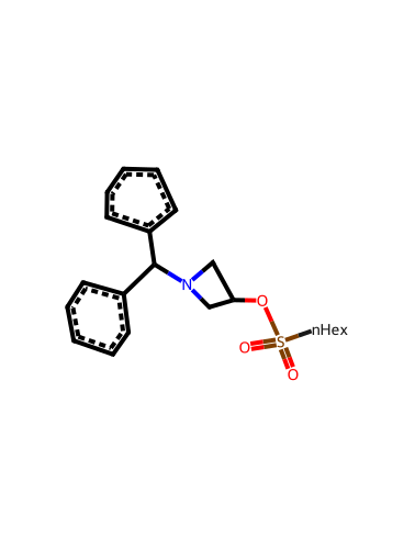 CCCCCCS(=O)(=O)OC1CN(C(c2ccccc2)c2ccccc2)C1